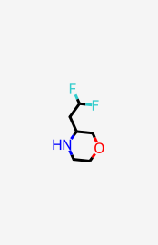 FC(F)CC1COCCN1